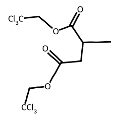 CC(CC(=O)OCC(Cl)(Cl)Cl)C(=O)OCC(Cl)(Cl)Cl